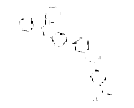 CCC(CC)c1ccc(N(Cc2cccc(-c3ccc(CC(NCC(=O)O)c4ccccn4)cc3)c2)C(C)C)cc1